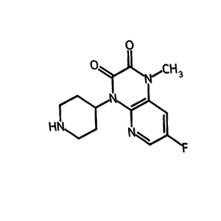 Cn1c(=O)c(=O)n(C2CCNCC2)c2ncc(F)cc21